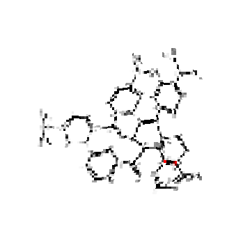 CN(C)c1ccc(C(=CC(C=C(c2ccc(N(C)C)cc2)c2ccc(N(C)C)cc2)C(C(=O)c2ccccc2)C(=O)c2ccccc2)c2ccc(N(C)C)cc2)cc1